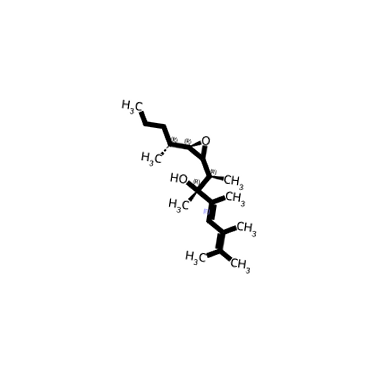 CCC[C@@H](C)[C@H]1OC1[C@@H](C)[C@@](C)(O)/C(C)=C/C(C)=C(C)C